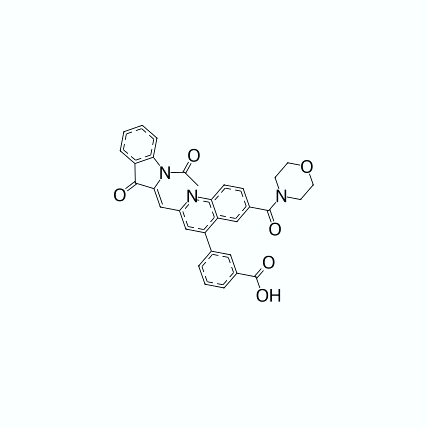 CC(=O)N1/C(=C\c2cc(-c3cccc(C(=O)O)c3)c3cc(C(=O)N4CCOCC4)ccc3n2)C(=O)c2ccccc21